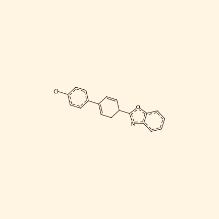 Clc1ccc(C2=CCC(c3nc4ccccc4o3)C=C2)cc1